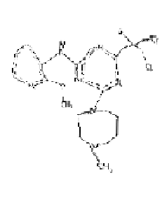 COc1ncccc1Nc1nc(N2CCN(C)CC2)nc(C(Cl)(Cl)Cl)n1